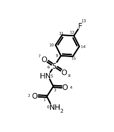 NC(=O)C(=O)NS(=O)(=O)c1ccc(F)cc1